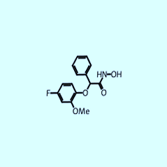 COc1cc(F)ccc1OC(C(=O)NO)c1ccccc1